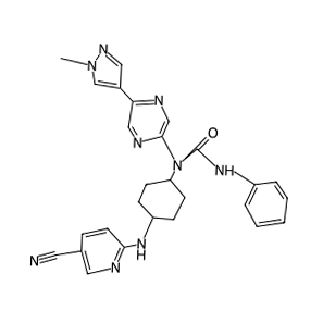 Cn1cc(-c2cnc(N(C(=O)NCc3ccccc3)C3CCC(Nc4ccc(C#N)cn4)CC3)cn2)cn1